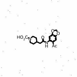 CC(=O)c1cc2c(cc1NC(=O)CC1CCN(C(=O)O)CC1)OCO2